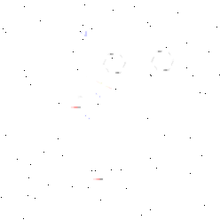 CC(=O)OCCC1CCN(C(=O)[C@H](CSCCCN)NS(=O)(=O)c2cccc(C(C)(C)c3ccccc3)c2)CC1.Cl